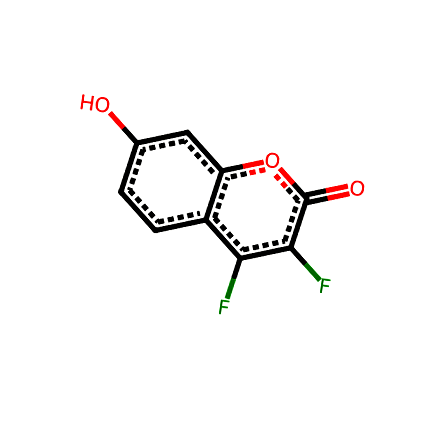 O=c1oc2cc(O)ccc2c(F)c1F